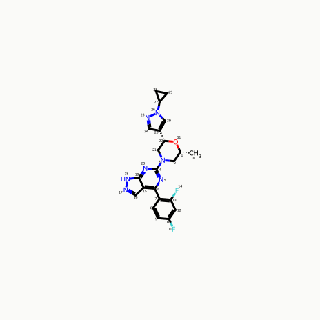 C[C@@H]1CN(c2nc(-c3ccc(F)cc3F)c3cn[nH]c3n2)C[C@H](c2cnn(C3CC3)c2)O1